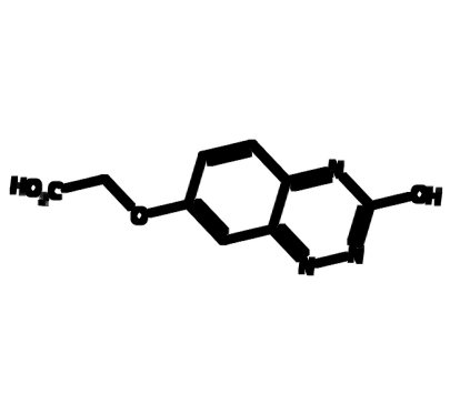 O=C(O)COc1ccc2nc(O)nnc2c1